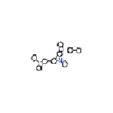 c1ccc(-c2ccc(C3c4ccccc4-c4cc5c6cc(-c7ccc8c(c7)-c7ccccc7C8c7ccccc7)ccc6n(-c6ccccc6)c5cc43)cc2)cc1